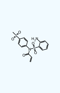 C=CC(=O)N(c1ccc(S(C)(=O)=O)cc1)S(=O)(=O)c1ccccc1N